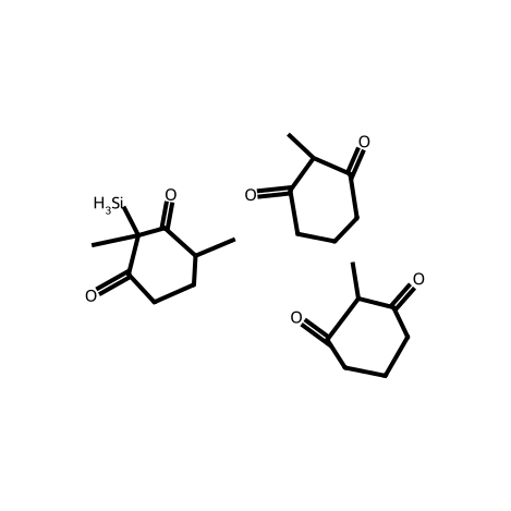 CC1C(=O)CCCC1=O.CC1C(=O)CCCC1=O.CC1CCC(=O)C(C)([SiH3])C1=O